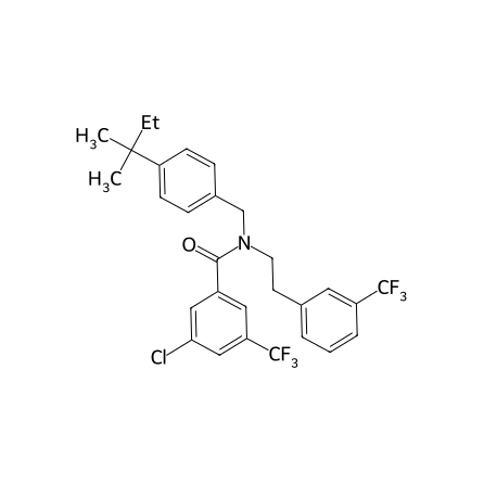 CCC(C)(C)c1ccc(CN(CCc2cccc(C(F)(F)F)c2)C(=O)c2cc(Cl)cc(C(F)(F)F)c2)cc1